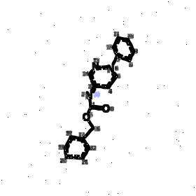 O=C(/N=c1\ccn(-c2ccccc2)nc1)OCc1ccccc1